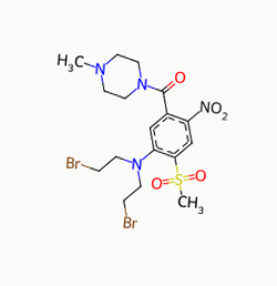 CN1CCN(C(=O)c2cc(N(CCBr)CCBr)c(S(C)(=O)=O)cc2[N+](=O)[O-])CC1